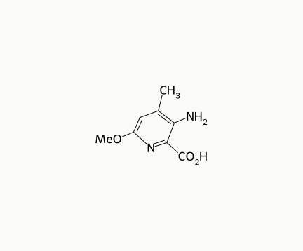 COc1cc(C)c(N)c(C(=O)O)n1